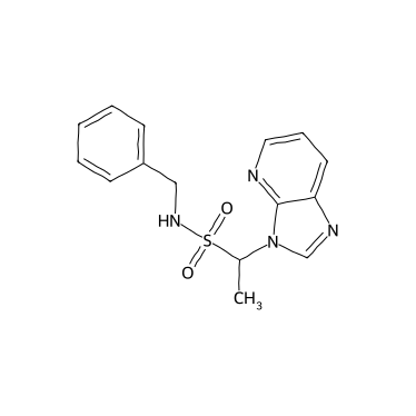 CC(n1cnc2cccnc21)S(=O)(=O)NCc1ccccc1